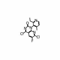 CCc1nccc(C)c1-n1c(=O)nc(Cl)c2cc(F)c(Cl)nc21